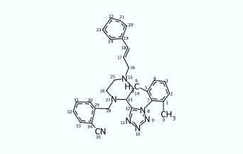 Cc1cccc(C)c1-n1nnnc1C1CN(CC=Cc2ccccc2)CCN1Cc1ccccc1C#N